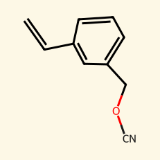 C=Cc1cccc(COC#N)c1